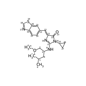 COCC(CC(C)C)NC1=N/C(=C\c2ccc3ncsc3c2)C(=O)N1C1CC1